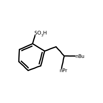 CCCCC(CCC)Cc1ccccc1S(=O)(=O)O